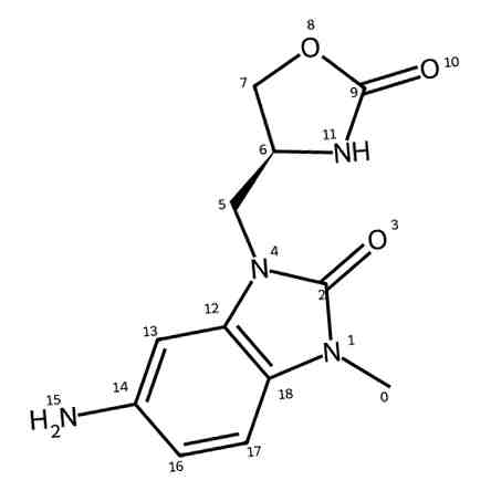 Cn1c(=O)n(C[C@H]2COC(=O)N2)c2cc(N)ccc21